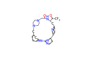 O=C1CN2CCN(CC2)Cc2cccc(c2)Nc2nccc(n2)-c2ccc(nc2)CC(C(=O)C(F)(F)F)N1